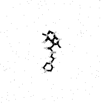 Cc1oc2ncn(C)c(=O)c2c1C(=O)NCCN1CCOCC1